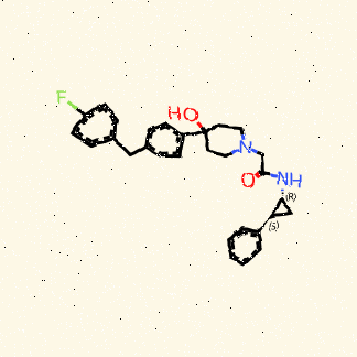 O=C(CN1CCC(O)(c2ccc(Cc3ccc(F)cc3)cc2)CC1)N[C@@H]1C[C@H]1c1ccccc1